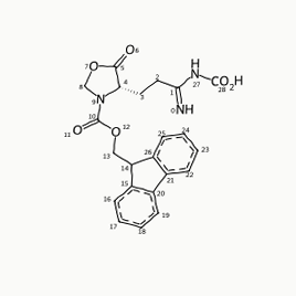 N=C(CC[C@H]1C(=O)OCN1C(=O)OCC1c2ccccc2-c2ccccc21)NC(=O)O